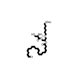 CC/C=C\C/C=C\C/C=C\C/C=C\C/C=C\C/C=C\CCC(=O)OC(COCCCCCCCCCCCCCCCC)COC(=O)C(N)CS